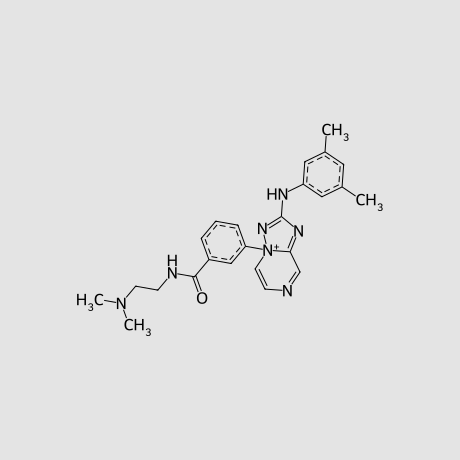 Cc1cc(C)cc(NC2=N[N+]3(c4cccc(C(=O)NCCN(C)C)c4)C=CN=CC3=N2)c1